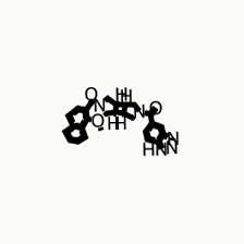 COc1c(C(=O)N2C[C@@H]3[C@H]4CN(C(=O)c5ccc6[nH]nnc6c5)C[C@H]4[C@@H]3C2)ccc2ccccc12